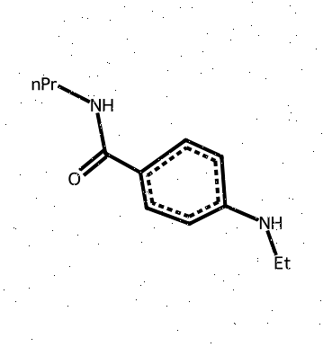 CCCNC(=O)c1ccc(NCC)cc1